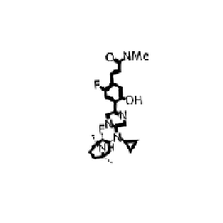 CNC(=O)/C=C/c1cc(O)c(-c2cnc(N(C3CC3)[C@@H]3C[C@@]4(C)CC[C@](C)(N4)[C@@H]3F)cn2)cc1F